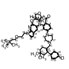 COC(=O)c1ccc(N2CCN(CC3=C(c4ccc(Cl)cc4)CC(C)(C)CC3)CC2)cc1N1c2cc3ccn(CCOCC[Si](C)(C)C)c3nc2O[C@@H]2COC[C@H]21